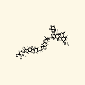 Nc1cc(Cl)c(C2CC2)c(-c2ncc3c(N4CC5CCC(C4)N5)nc(OCC4(CN5CCC6(CC5)CC(CN5CCN(c7ccc8c(c7)CN([C@H]7CCC(=O)NC7=O)C8=O)CC5)C6)CC4)nc3c2F)c1